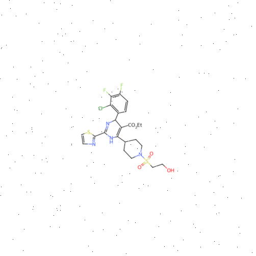 CCOC(=O)C1=C(C2CCN(S(=O)(=O)CCO)CC2)NC(c2nccs2)=NC1c1ccc(F)c(F)c1Cl